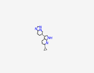 c1nc2ccc(-c3c[nH]c4nc(C5CC5)ccc34)cn2n1